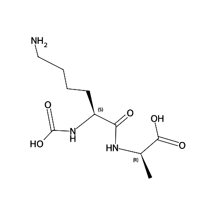 C[C@@H](NC(=O)[C@H](CCCCN)NC(=O)O)C(=O)O